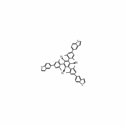 Cc1cc(-c2ccc3sccc3c2)cc(C)c1-c1c(C#N)c(-c2c(C)cc(-c3ccc4sccc4c3)cc2C)c(C#N)c(-c2c(C)cc(-c3ccc4sccc4c3)cc2C)c1C#N